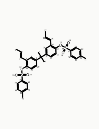 CC=Cc1cc(C(C)(C)c2ccc(OS(=O)(=O)c3ccc(C)cc3)c(C=CC)c2)ccc1OS(=O)(=O)c1ccc(C)cc1